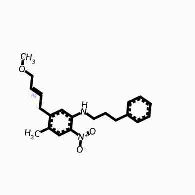 COC/C=C/Cc1cc(NCCCc2ccccc2)c([N+](=O)[O-])cc1C